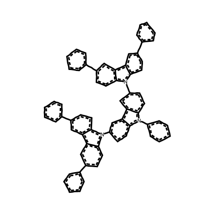 c1ccc(-c2ccc3c(c2)c2cc(-c4ccccc4)ccc2n3-c2ccc3c(c2)c2cc(-n4c5ccc(-c6ccccc6)cc5c5cc(-c6ccccc6)ccc54)ccc2n3-c2ccccc2)cc1